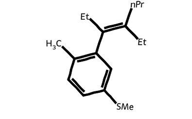 CCC/C(CC)=C(\CC)c1cc(SC)ccc1C